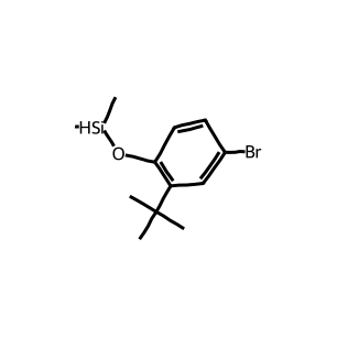 C[SiH](C)Oc1ccc(Br)cc1C(C)(C)C